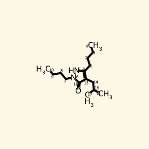 CCCCc1[nH]n(CCCC)c(=O)c1CC(C)C